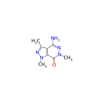 Cc1nn(C)c2c(=O)n(C)nc(N)c12